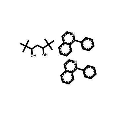 CC(C)(C)C(O)CC(O)C(C)(C)C.c1ccc(-c2nccc3ccccc23)cc1.c1ccc(-c2nccc3ccccc23)cc1